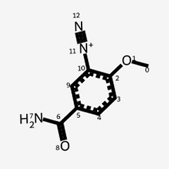 COc1ccc(C(N)=O)cc1[N+]#N